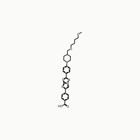 COCCCCOCC1CCN(c2ccc(-c3nn4cc(-c5ccc(C(=O)O)cc5)nc4s3)cc2)CC1